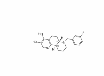 Oc1ccc2c(c1O)CC[C@H]1[C@H]2CCCN1Cc1cccc(F)c1